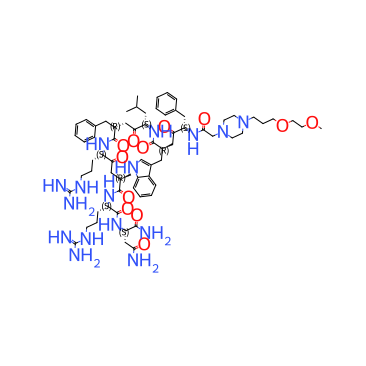 COCCOCCCN1CCN(CC(=O)N[C@@H](Cc2ccccc2)C(=O)C[C@@H](Cc2c[nH]c3ccccc23)C(=O)N[C@@H](CC(C)C)C(=O)C[C@@H](Cc2ccccc2)C(=O)N[C@@H](CCCNC(=N)N)C(=O)C[C@@H](C)C(=O)N[C@@H](CCCNC(=N)N)C(=O)N[C@@H](CC(N)=O)C(N)=O)CC1